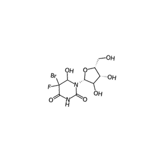 O=C1NC(=O)C(F)(Br)C(O)N1[C@@H]1O[C@H](CO)[C@H](O)C1O